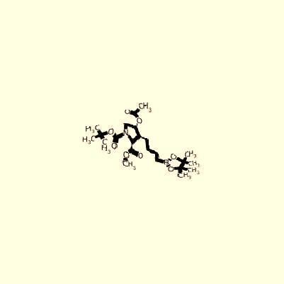 COC(=O)[C@@H]1[C@H](CCCCB2OC(C)(C)C(C)(C)O2)[C@@H](OC(C)=O)CN1C(=O)OC(C)(C)C